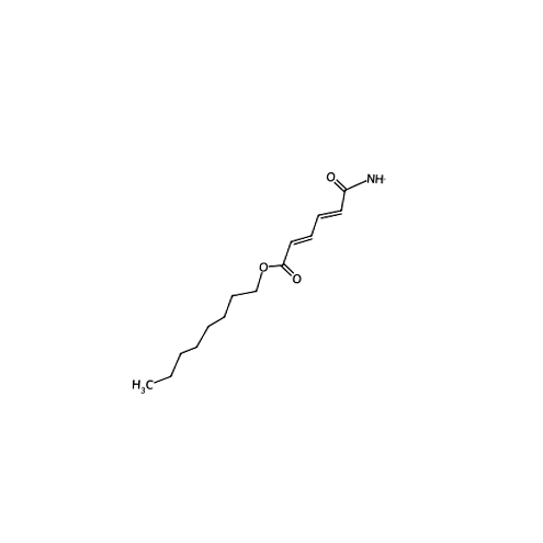 CCCCCCCCOC(=O)/C=C/C=C/C([NH])=O